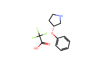 O=C(O)C(F)(F)F.c1ccc(O[C@@H]2CCNC2)cc1